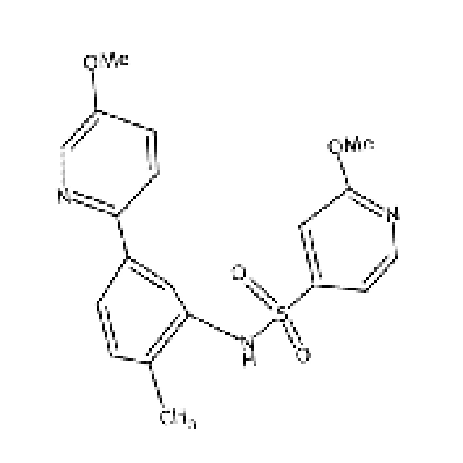 COc1ccc(-c2ccc(C)c(NS(=O)(=O)c3ccnc(OC)c3)c2)nc1